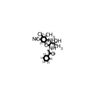 Cc1c(N[C@@H](C(=O)NCC(=O)c2ccccc2)[C@H](C)O)ccc(C#N)c1Cl